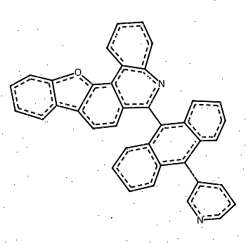 c1cncc(-c2c3ccccc3c(-c3nc4ccccc4c4c3ccc3c5ccccc5oc34)c3ccccc23)c1